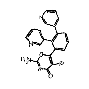 Nc1nc(=O)c(Br)c(-c2cccc(-c3cccnc3)c2-c2cccnc2)o1